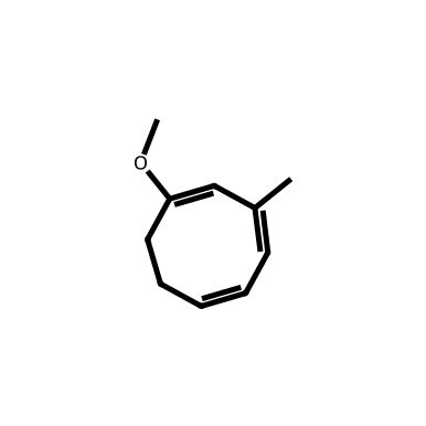 CO/C1=C/C(C)=C\C=C/CC1